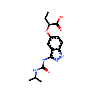 CCC(Oc1ccc2[nH]nc(NC(=O)NC(C)C)c2c1)C(=O)O